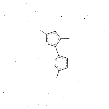 Cc1ccc(-c2sc(C)cc2C)s1